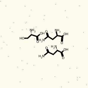 NC(=O)CC(N)C(=O)O.NC(=O)C[C@H](N)C(=O)O.N[C@@H](CO)C(=O)O